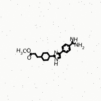 COC(=O)CCC1CCC(c2nc(-c3ccc(C(=N)N)cc3)c[nH]2)CC1